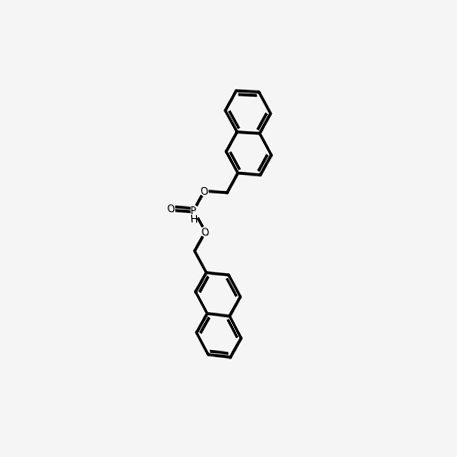 O=[PH](OCc1ccc2ccccc2c1)OCc1ccc2ccccc2c1